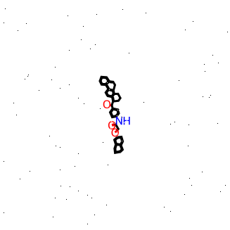 O=C(COc1ccc2ccccc2c1)Nc1ccc(C(=O)C2=c3ccc4c(c3CCC2)CC=c2ccccc2=4)cc1